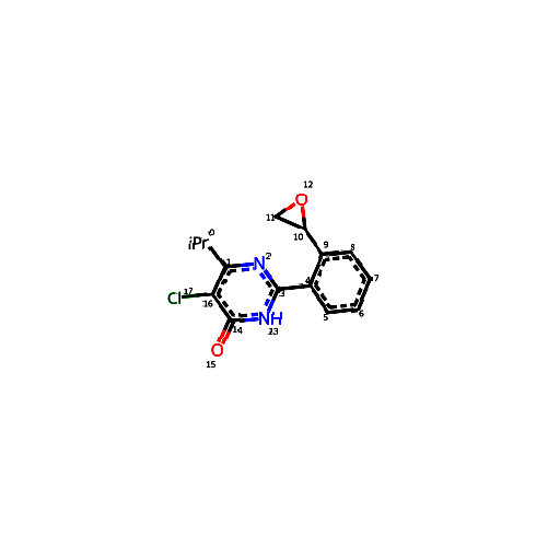 CC(C)c1nc(-c2ccccc2C2CO2)[nH]c(=O)c1Cl